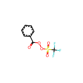 O=C(OOS(=O)(=O)C(F)(F)F)c1ccccc1